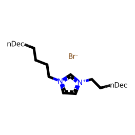 CCCCCCCCCCCCCCn1cc[n+](CCCCCCCCCCCC)c1.[Br-]